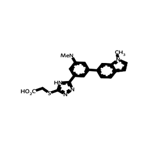 CNc1cc(-c2ccc3ccn(C)c3c2)cc(-c2nnc(SCC(=O)O)[nH]2)c1